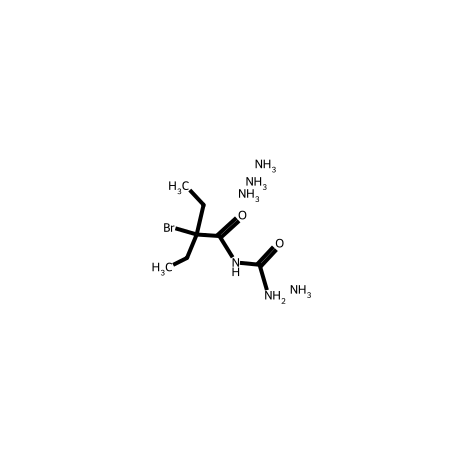 CCC(Br)(CC)C(=O)NC(N)=O.N.N.N.N